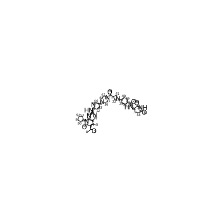 CC(=O)c1c(C)c2cnc(Nc3ccc(N4CCN(C(=O)C5CN(c6ccc(C(=O)NC7CCC(=O)NC7=O)cc6)C5)CC4)cn3)nc2n(C2CCCC2)c1=O